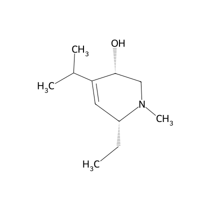 CC[C@@H]1C=C(C(C)C)[C@H](O)CN1C